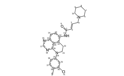 O=C(/C=C/CN1CCCCC1)Nc1ccc2ncnc3c2c1CCN3c1ccc(F)c(Cl)c1